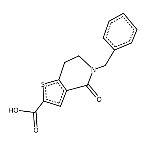 O=C(O)c1cc2c(s1)CCN(Cc1ccccc1)C2=O